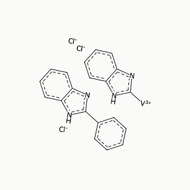 [Cl-].[Cl-].[Cl-].[V+3][c]1nc2ccccc2[nH]1.c1ccc(-c2nc3ccccc3[nH]2)cc1